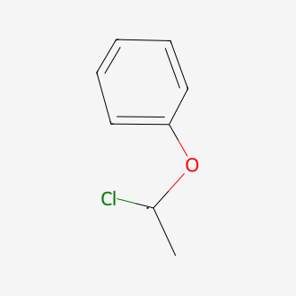 C[C](Cl)Oc1ccccc1